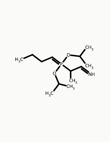 CCCC=P(OC(C)C)(OC(C)C)C(C)C=N